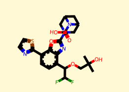 CC(C)(O)COC(c1ccc(-c2nccs2)c2oc(N3CC4CC(C3)N4C(=O)O)nc12)C(F)F